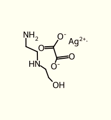 NCCNCCO.O=C([O-])C(=O)[O-].[Ag+2]